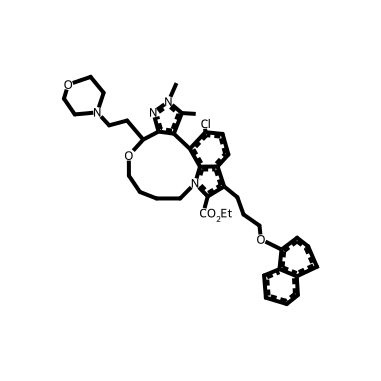 CCOC(=O)c1c(CCCOc2cccc3ccccc23)c2ccc(Cl)c3c2n1CCCCOC(CCN1CCOCC1)c1nn(C)c(C)c1-3